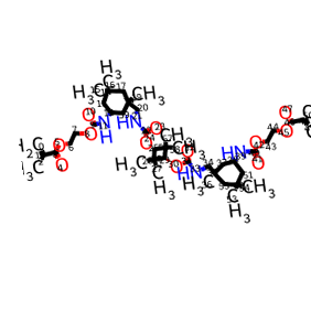 C=C(C)C(=O)OCCOC(=O)NC1CC(C)(C)CC(C)(CNC(=O)O[C@H]2C(C)(C)[C@H](OC(=O)NCC3(C)CC(NC(=O)OCCOC(=O)C(=C)C)CC(C)(C)C3)C2(C)C)C1